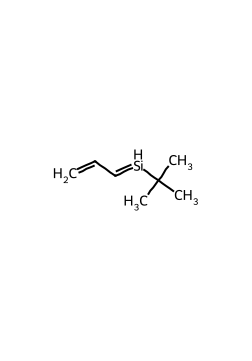 C=CC=[SiH]C(C)(C)C